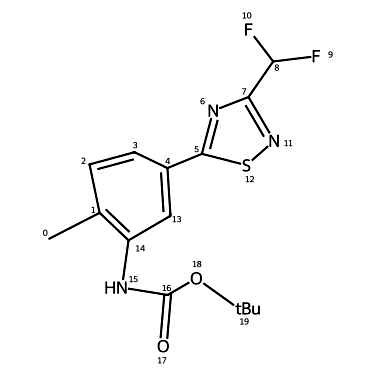 Cc1ccc(-c2nc(C(F)F)ns2)cc1NC(=O)OC(C)(C)C